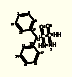 N=C=O.N=C=O.[HH].c1ccc(Cc2ccccc2)cc1